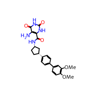 COc1ccc(-c2ccc([C@@H]3CC[C@H](NC(=O)c4[nH]c(=O)[nH]c(=O)c4N)C3)cc2)cc1OC